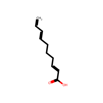 C=C/C=C/CCCC=CC(=O)O